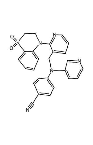 N#Cc1ccc(N(Cc2cccnc2N2CCS(=O)(=O)c3ccccc32)c2cccnc2)cc1